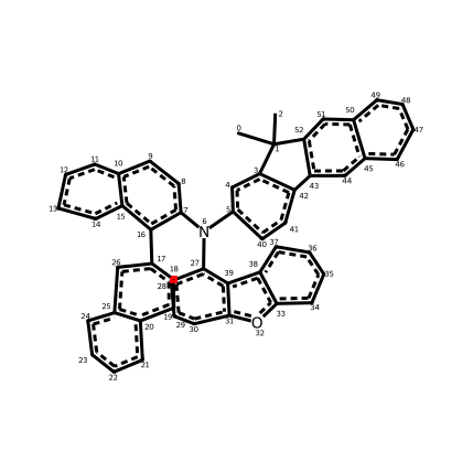 CC1(C)c2cc(N(c3ccc4ccccc4c3-c3ccc4ccccc4c3)c3cccc4oc5ccccc5c34)ccc2-c2cc3ccccc3cc21